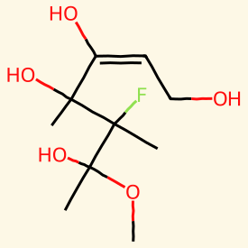 COC(C)(O)C(C)(F)C(C)(O)/C(O)=C\CO